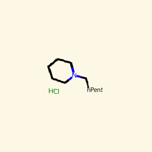 CCCCCCN1CCCCC1.Cl